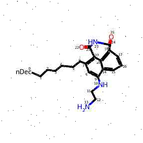 CCCCCCCCCCCCCCCCc1cc(NCCN)c2cccc3c2c1C(=O)NC3=O